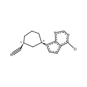 N#C[C@H]1CCC[C@@H](n2ccc3c(Cl)ncnc32)C1